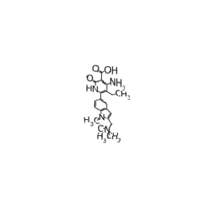 CCc1c(-c2ccc3c(c2)cc(CN(C)C)n3C)[nH]c(=O)c(C(=O)O)c1N